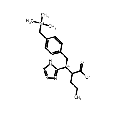 CCCC(C(=O)[O-])[C@H](Cc1ccc(C[N+](C)(C)C)cc1)c1nnn[nH]1